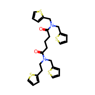 O=C(CCCC(=O)N(Cc1cccs1)Cc1cccs1)N(CCc1cccs1)Cc1cccs1